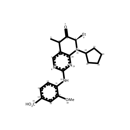 CC[C@@H]1C(=O)C(C)c2cnc(Nc3ccc(C(=O)O)cc3OC)nc2N1C1CCCC1